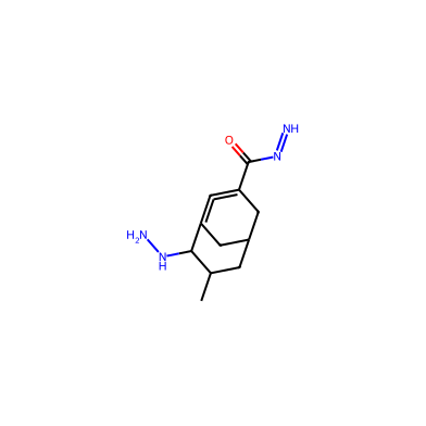 CC1CC2CC(C(=O)N=N)=C=C(C2)C1NN